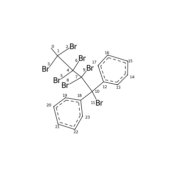 CC(Br)(Br)C(Br)(Br)C(Br)(Br)C(Br)(c1ccccc1)c1ccccc1